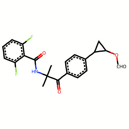 CC(C)(NC(=O)c1c(F)cccc1F)C(=O)c1ccc(C2CC2OC=O)cc1